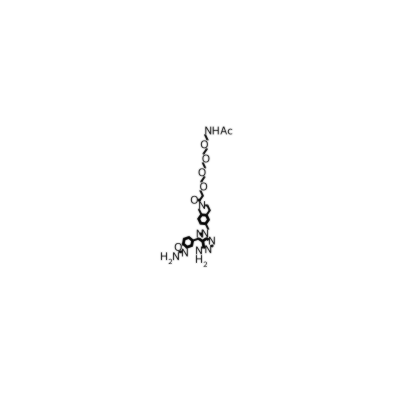 CC(=O)NCCOCCOCCOCCOCCC(=O)N1CCc2cc(Cn3nc(-c4ccc5oc(N)nc5c4)c4c(N)ncnc43)ccc2C1